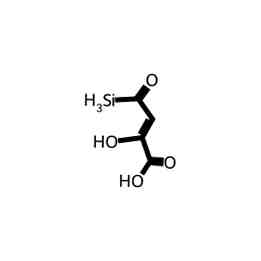 O=C([SiH3])/C=C(\O)C(=O)O